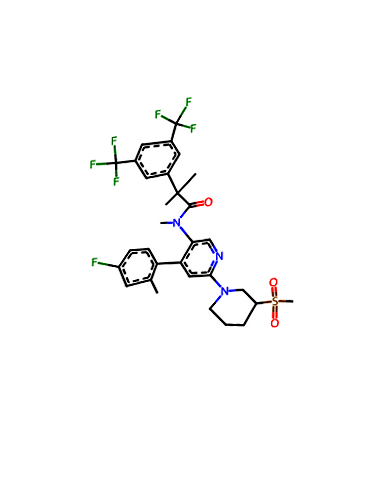 Cc1cc(F)ccc1-c1cc(N2CCCC(S(C)(=O)=O)C2)ncc1N(C)C(=O)C(C)(C)c1cc(C(F)(F)F)cc(C(F)(F)F)c1